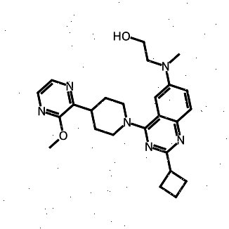 COc1nccnc1C1CCN(c2nc(C3CCC3)nc3ccc(N(C)CCO)cc23)CC1